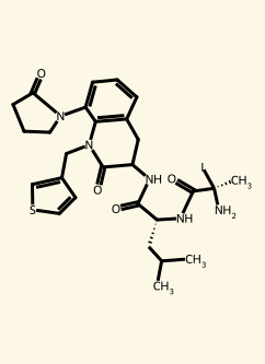 CC(C)C[C@@H](NC(=O)[C@](C)(N)I)C(=O)NC1Cc2cccc(N3CCCC3=O)c2N(Cc2ccsc2)C1=O